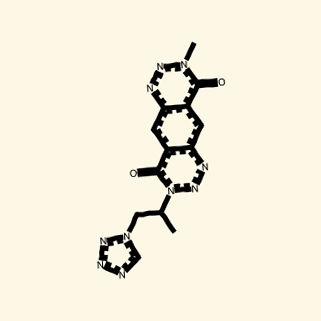 CC(Cn1cnnn1)n1nnc2cc3c(=O)n(C)nnc3cc2c1=O